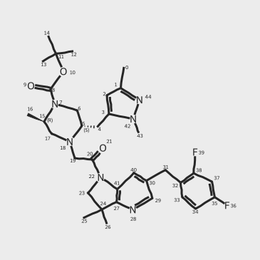 Cc1cc(C[C@H]2CN(C(=O)OC(C)(C)C)[C@H](C)CN2CC(=O)N2CC(C)(C)c3ncc(Cc4ccc(F)cc4F)cc32)n(C)n1